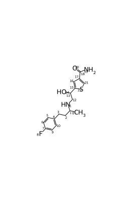 CC(CCc1ccc(F)cc1)NCC(O)c1cc(C(N)=O)cs1